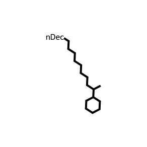 CCCCCCCCCCCCCCCCCCC(C)C1CCCCC1